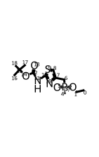 CCO[P@](C)(=O)Cc1csc(NC(=O)OC(C)(C)C)n1